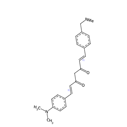 CNCc1ccc(/C=C/C(=O)CC(=O)/C=C/c2ccc(N(C)C)cc2)cc1